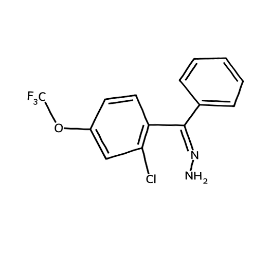 NN=C(c1ccccc1)c1ccc(OC(F)(F)F)cc1Cl